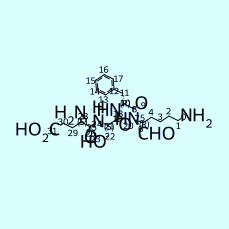 NCCCC[C@H](C=O)NC(=O)[C@@H](Cc1ccccc1)NC(=O)[C@H](CO)NC(=O)[C@@H](N)CCC(=O)O